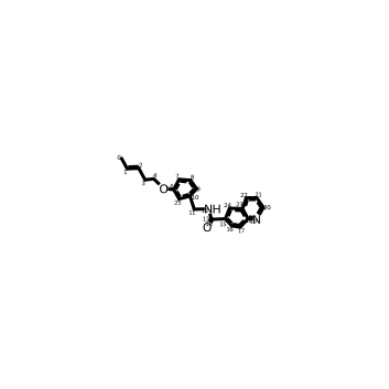 CC=CCCOc1cccc(CNC(=O)c2ccc3ncccc3c2)c1